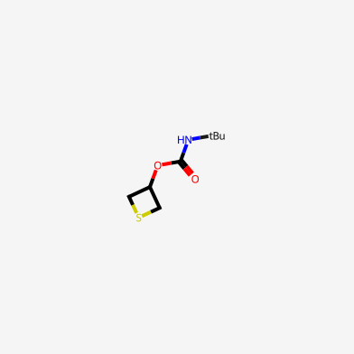 CC(C)(C)NC(=O)OC1CSC1